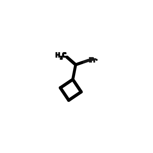 C[C](C)C(C)C1CCC1